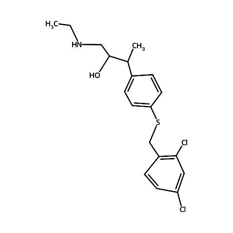 CCNCC(O)C(C)c1ccc(SCc2ccc(Cl)cc2Cl)cc1